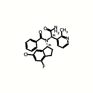 Cc1ncccc1[C@H](C(N)=O)N(C(=O)c1ccccc1)[C@@H]1CCc2c(F)cc(Cl)cc21